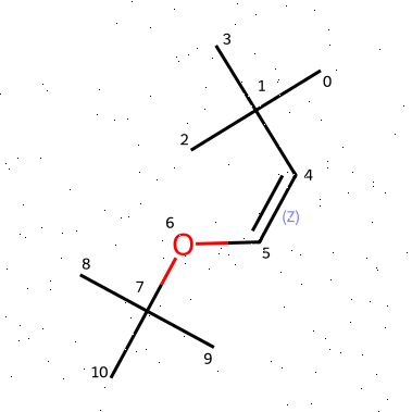 CC(C)(C)/C=C\OC(C)(C)C